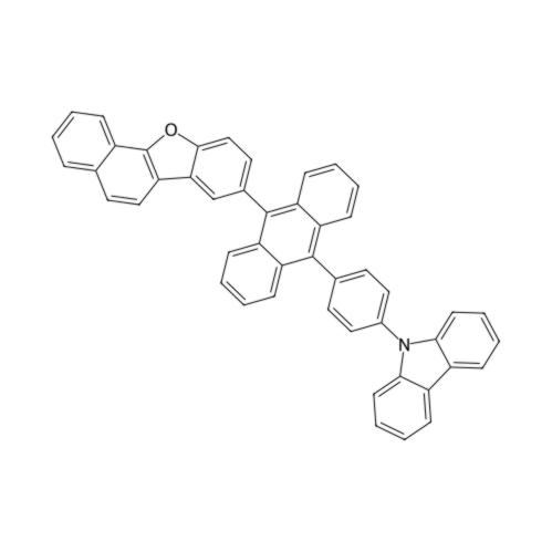 c1ccc2c(c1)ccc1c3cc(-c4c5ccccc5c(-c5ccc(-n6c7ccccc7c7ccccc76)cc5)c5ccccc45)ccc3oc21